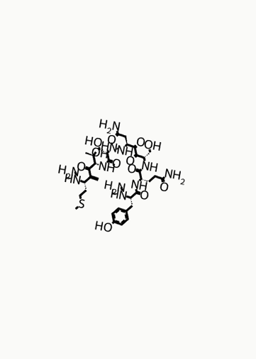 C=C(C(=O)[C@@H](NC(=O)[C@H](CO)NN[C@@H](CC(N)=O)C(=O)C(=O)[C@H](CO)NC(=O)[C@H](CCC(N)=O)NC(=O)[C@H](Cc1ccc(O)cc1)NN)[C@@H](C)O)[C@H](CCSC)NN